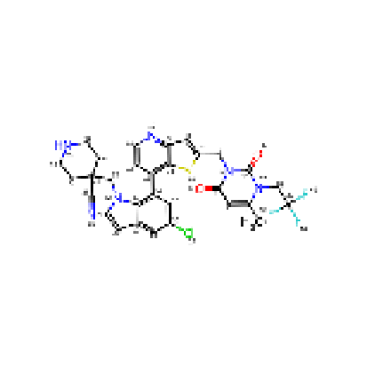 Cc1cc(=O)n(Cc2cc3nccc(-c4cc(Cl)cc5ccn(CC6(C#N)CCNCC6)c45)c3s2)c(=O)n1CC(F)(F)F